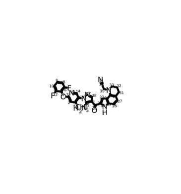 Cc1cc(Oc2c(F)cccc2F)ncc1-n1ncc(C(=O)c2cc3c4c(ccc3[nH]2)CCCN4CC#N)c1N